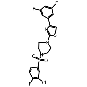 O=S(=O)(c1ccc(F)c(Cl)c1)N1CCN(c2nc(-c3cc(F)cc(F)c3)cs2)CC1